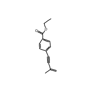 C=C(C)C#Cc1ccc(C(=O)OCC)cc1